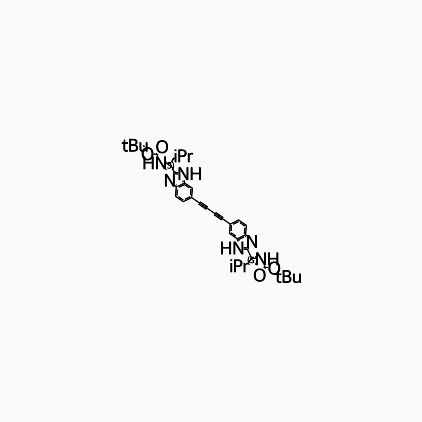 CC(C)[C@H](NC(=O)OC(C)(C)C)c1nc2ccc(C#CC#Cc3ccc4nc([C@@H](NC(=O)OC(C)(C)C)C(C)C)[nH]c4c3)cc2[nH]1